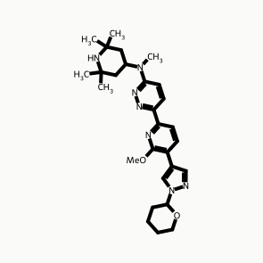 COc1nc(-c2ccc(N(C)C3CC(C)(C)NC(C)(C)C3)nn2)ccc1-c1cnn(C2CCCCO2)c1